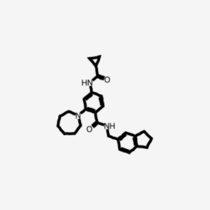 O=C(NCc1ccc2c(c1)CCC2)c1ccc(NC(=O)C2CC2)cc1N1CCCCCC1